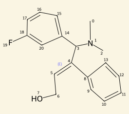 CN(C)C(/C(=C/CO)c1ccccc1)c1cccc(F)c1